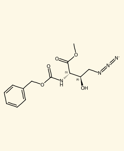 COC(=O)[C@@H](NC(=O)OCc1ccccc1)[C@H](O)CN=[N+]=[N-]